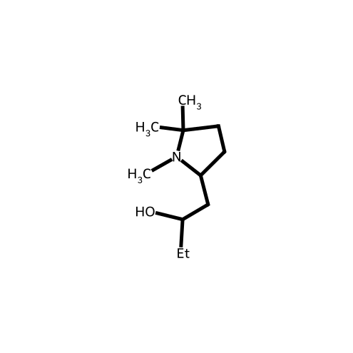 CCC(O)CC1CCC(C)(C)N1C